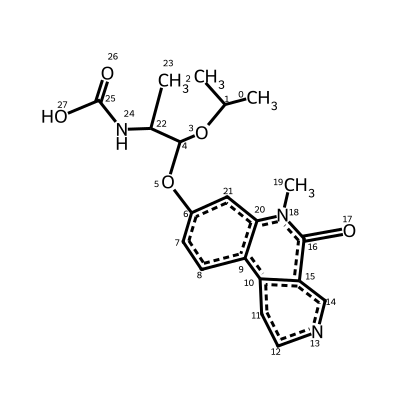 CC(C)OC(Oc1ccc2c3ccncc3c(=O)n(C)c2c1)C(C)NC(=O)O